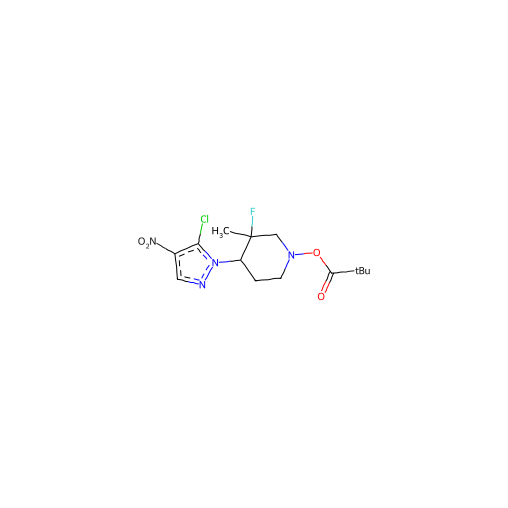 CC(C)(C)C(=O)ON1CCC(n2ncc([N+](=O)[O-])c2Cl)C(C)(F)C1